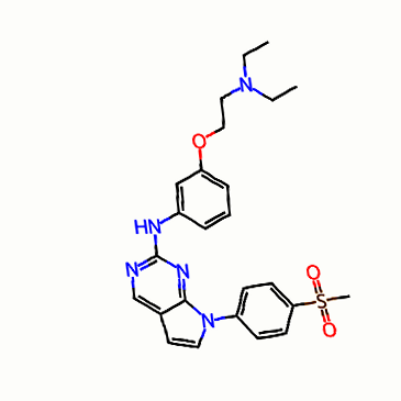 CCN(CC)CCOc1cccc(Nc2ncc3ccn(-c4ccc(S(C)(=O)=O)cc4)c3n2)c1